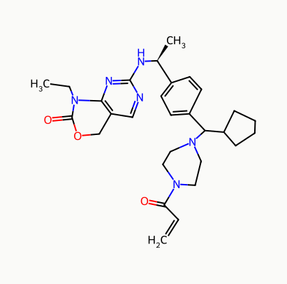 C=CC(=O)N1CCN(C(c2ccc([C@H](C)Nc3ncc4c(n3)N(CC)C(=O)OC4)cc2)C2CCCC2)CC1